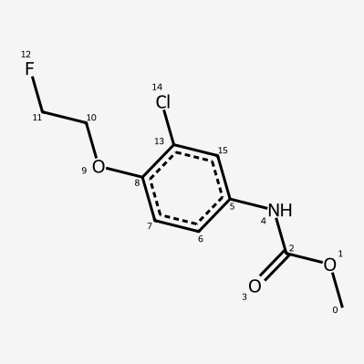 COC(=O)Nc1ccc(OCCF)c(Cl)c1